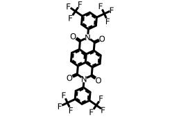 O=C1c2ccc3c4c(ccc(c24)C(=O)N1c1cc(C(F)(F)F)cc(C(F)(F)F)c1)C(=O)N(c1cc(C(F)(F)F)cc(C(F)(F)F)c1)C3=O